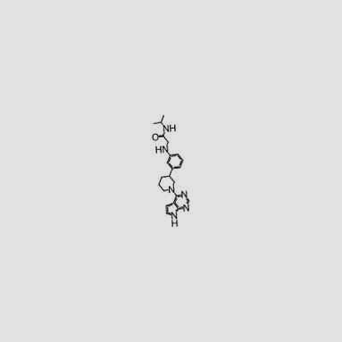 CC(C)NC(=O)CNc1cccc(C2CCCN(c3ncnc4[nH]ccc34)C2)c1